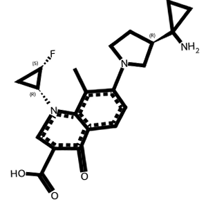 Cc1c(N2CC[C@@H](C3(N)CC3)C2)ccc2c(=O)c(C(=O)O)cn([C@@H]3C[C@@H]3F)c12